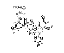 COc1ccc(CN(c2ncc(F)cn2)S(=O)(=O)c2cc(Cl)c(Nc3ccc(OC)cc3N(C)CCN(C)C(=O)O)cc2F)c(OC)c1